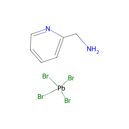 NCc1ccccn1.[Br][Pb]([Br])([Br])[Br]